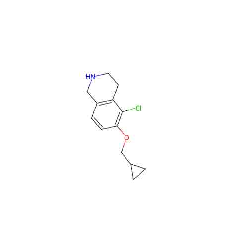 Clc1c(OCC2CC2)ccc2c1CCNC2